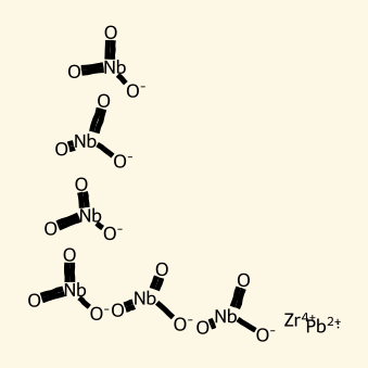 [O]=[Nb](=[O])[O-].[O]=[Nb](=[O])[O-].[O]=[Nb](=[O])[O-].[O]=[Nb](=[O])[O-].[O]=[Nb](=[O])[O-].[O]=[Nb](=[O])[O-].[Pb+2].[Zr+4]